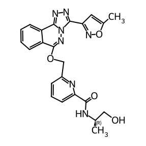 Cc1cc(-c2nnc3c4ccccc4c(OCc4cccc(C(=O)N[C@H](C)CO)n4)nn23)no1